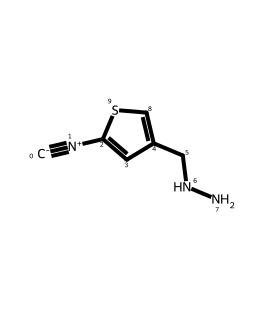 [C-]#[N+]c1cc(CNN)cs1